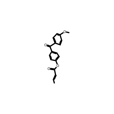 CC=CC(=O)Oc1ccc(C(=O)c2ccc(OC)cc2)cc1